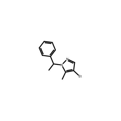 CCc1cnn(C(C)c2ccccc2)c1C